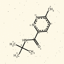 Cc1ccc(C(=O)NC(C)(C)C)nn1